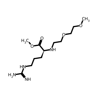 COCCOCCN[C@@H](CCCNC(=N)N)C(=O)OC